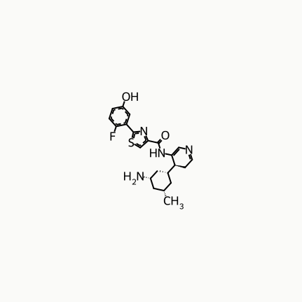 C[C@@H]1C[C@H](N)C[C@H]([C@@H]2CC=NC=C2NC(=O)c2csc(-c3cc(O)ccc3F)n2)C1